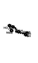 CN[C@H]1CC[C@H](N(C(=O)O)c2cc(CCCn3nnc4cc(CNCC(O)c5ccc(O)c6[nH]c(=O)ccc56)ccc43)ccc2-c2ccccc2)CC1